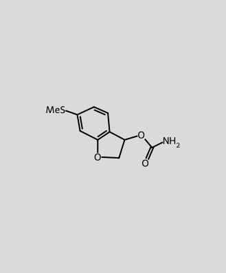 CSc1ccc2c(c1)OCC2OC(N)=O